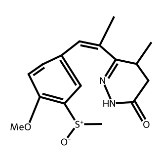 COc1ccc(C=C(C)C2=NNC(=O)CC2C)cc1[S+](C)[O-]